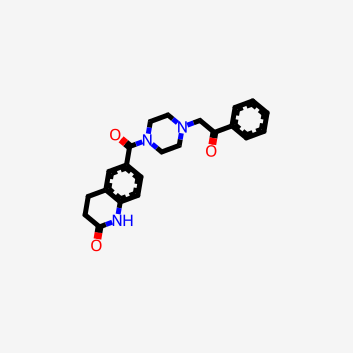 O=C1CCc2cc(C(=O)N3CCN(CC(=O)c4ccccc4)CC3)ccc2N1